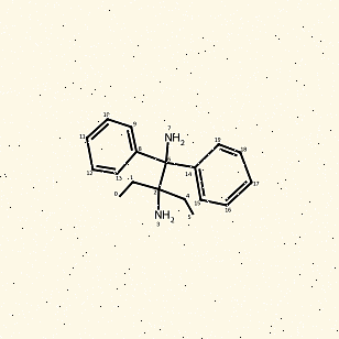 CCC(N)(CC)C(N)(c1ccccc1)c1ccccc1